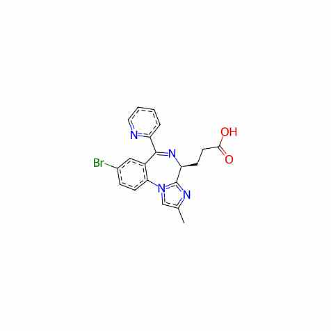 Cc1cn2c(n1)[C@H](CCC(=O)O)N=C(c1ccccn1)c1cc(Br)ccc1-2